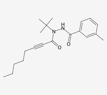 CCCCCC#CC(=O)N(NC(=O)c1cccc(C)c1)C(C)(C)C